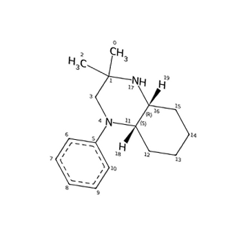 CC1(C)CN(c2ccccc2)[C@H]2CCCC[C@H]2N1